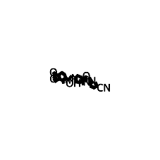 Cc1c([C@@H](O)CN2CCC3(CC2)CN(c2ccc(C#N)cn2)C3=O)ccc2c1COC2=O